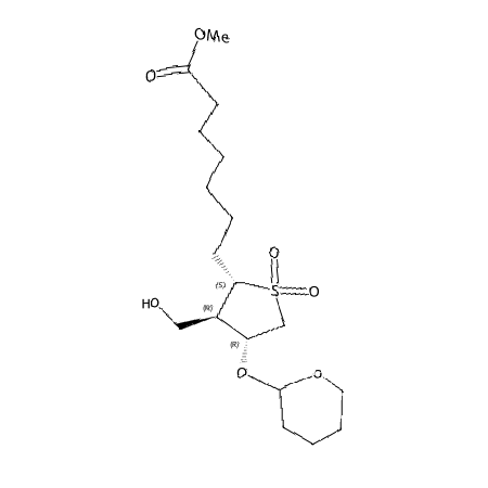 COC(=O)CCCCCC[C@H]1[C@H](CO)[C@@H](OC2CCCCO2)CS1(=O)=O